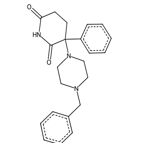 O=C1CCC(c2ccccc2)(N2CCN(Cc3ccccc3)CC2)C(=O)N1